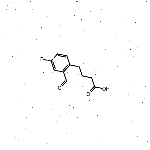 O=Cc1cc(F)ccc1CCCC(=O)O